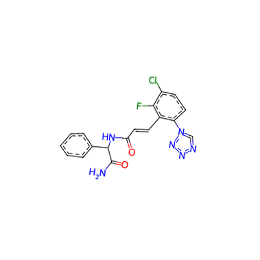 NC(=O)C(NC(=O)/C=C/c1c(-n2cnnn2)ccc(Cl)c1F)c1ccccc1